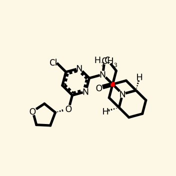 CCC(=O)N1[C@@H]2CCC[C@H]1CC(N(C)c1nc(Cl)cc(O[C@@H]3CCOC3)n1)C2